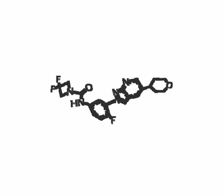 O=C(Nc1ccc(F)c(-n2cc3cc(C4CCOCC4)cnc3n2)c1)N1CC(F)(F)C1